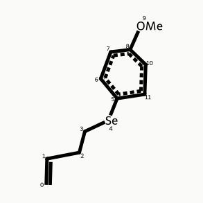 C=CCC[Se]c1ccc(OC)cc1